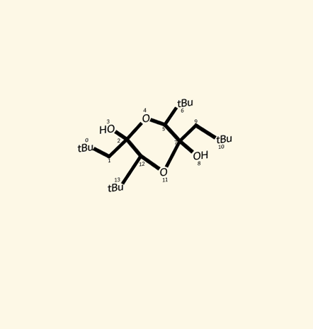 CC(C)(C)CC1(O)OC(C(C)(C)C)C(O)(CC(C)(C)C)OC1C(C)(C)C